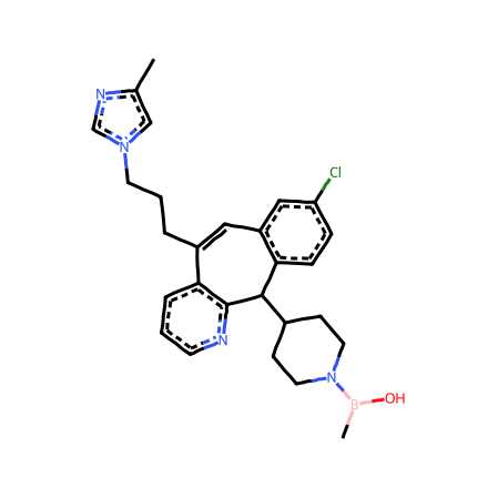 CB(O)N1CCC(C2c3ccc(Cl)cc3C=C(CCCn3cnc(C)c3)c3cccnc32)CC1